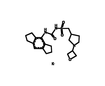 O=C(Nc1c2c(cc3c1CCC3)CCC2)NS(=O)(=O)CC1CCN(C2COC2)C1.[K]